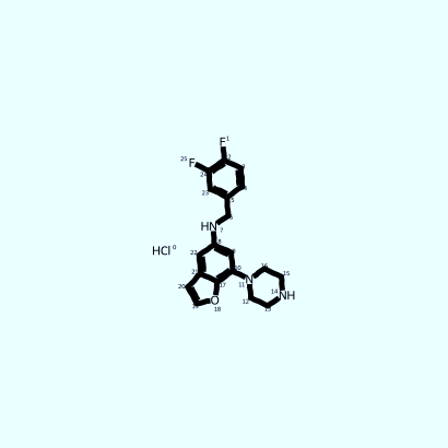 Cl.Fc1ccc(CNc2cc(N3CCNCC3)c3occc3c2)cc1F